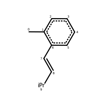 Cc1ccccc1C=CC(C)C